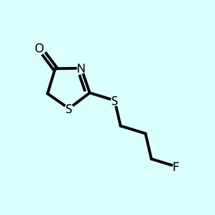 O=C1CSC(SCCCF)=N1